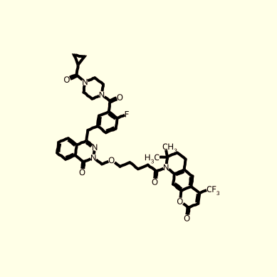 CC1(C)CCc2cc3c(C(F)(F)F)cc(=O)oc3cc2N1C(=O)CCCCOCn1nc(Cc2ccc(F)c(C(=O)N3CCN(C(=O)C4CC4)CC3)c2)c2ccccc2c1=O